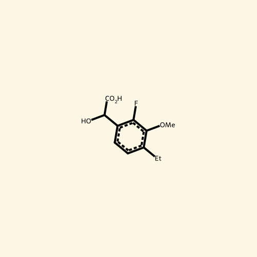 CCc1ccc(C(O)C(=O)O)c(F)c1OC